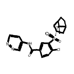 C[C@]1(O)C2CCC1C[C@@H](S(=O)(=O)c1cc(C(=O)Nc3ccnnc3)ccc1Cl)C2